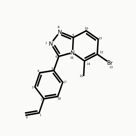 C=Cc1ccc(-c2nnc3ccc(Br)c(C)n23)cc1